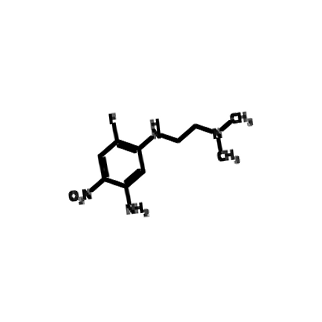 CN(C)CCNc1cc(N)c([N+](=O)[O-])cc1F